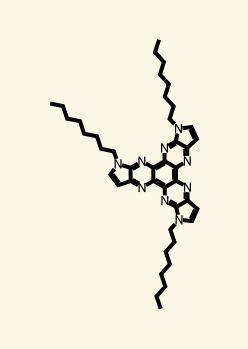 CCCCCCCCn1ccc2nc3c4nc5ccn(CCCCCCCC)c5nc4c4nc5c(ccn5CCCCCCCC)nc4c3nc21